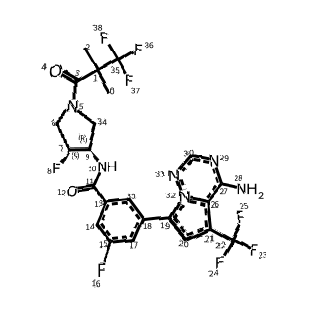 CC(C)(C(=O)N1C[C@H](F)[C@H](NC(=O)c2cc(F)cc(-c3cc(C(F)(F)F)c4c(N)ncnn34)c2)C1)C(F)(F)F